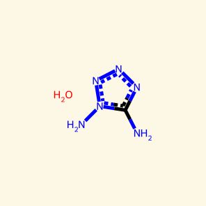 Nc1nnnn1N.O